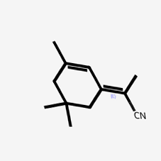 CC1=C/C(=C(\C)C#N)CC(C)(C)C1